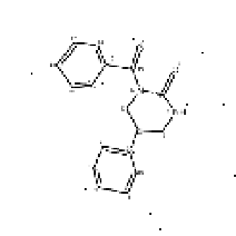 O=C1NCC(c2ccccc2)CN1C(=O)c1ccccc1